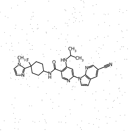 CC(C)Nc1cc(-n2ccc3cc(C#N)cnc32)ncc1C(=O)NC1CCC(F)(c2nccn2C)CC1